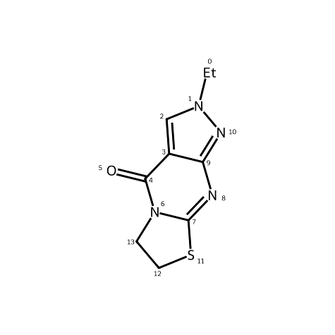 CCn1cc2c(=O)n3c(nc2n1)SCC3